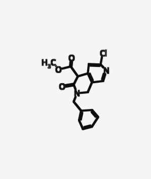 COC(=O)C1C(=O)N(Cc2ccccc2)Cc2cnc(Cl)cc21